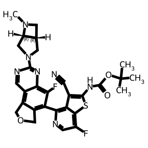 CN1C[C@@H]2CN(c3ncc4c5c(c(-c6ncc(F)c7sc(NC(=O)OC(C)(C)C)c(C#N)c67)c(F)c4n3)COC5)C[C@@H]21